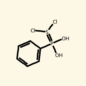 OP(O)(c1ccccc1)=S(Cl)Cl